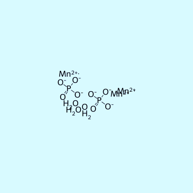 O.O.O.O=P([O-])([O-])[O-].O=P([O-])([O-])[O-].[Mn+2].[Mn+2].[Mn+2]